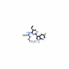 C=Cc1cnc(-c2c[nH]c3ncc(F)cc23)nc1NC(CCC(=O)OCC)C(C)(C)C